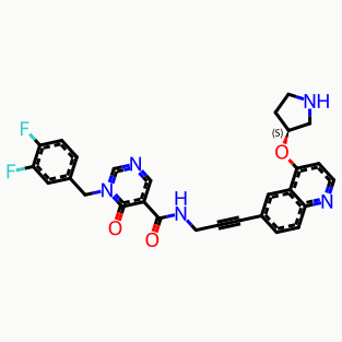 O=C(NCC#Cc1ccc2nccc(O[C@H]3CCNC3)c2c1)c1cncn(Cc2ccc(F)c(F)c2)c1=O